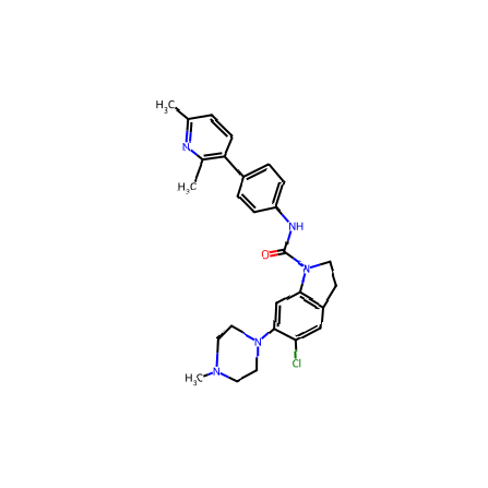 Cc1ccc(-c2ccc(NC(=O)N3CCc4cc(Cl)c(N5CCN(C)CC5)cc43)cc2)c(C)n1